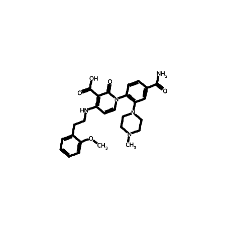 COc1ccccc1CCNc1ccn(-c2ccc(C(N)=O)cc2N2CCN(C)CC2)c(=O)c1C(=O)O